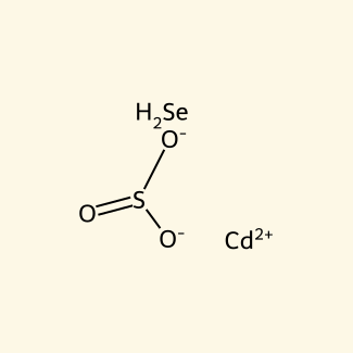 O=S([O-])[O-].[Cd+2].[SeH2]